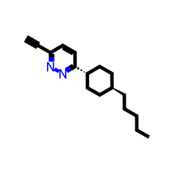 C#Cc1ccc([C@H]2CC[C@H](CCCCC)CC2)nn1